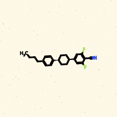 CCCCc1ccc([C@H]2CC[C@H](c3cc(F)c(C#N)c(F)c3)CC2)cc1